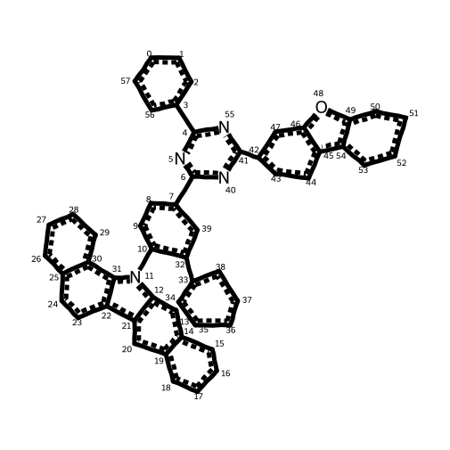 c1ccc(-c2nc(-c3ccc(-n4c5cc6ccccc6cc5c5ccc6ccccc6c54)c(-c4ccccc4)c3)nc(-c3ccc4c(c3)oc3ccccc34)n2)cc1